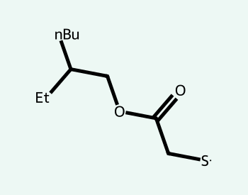 CCCCC(CC)COC(=O)C[S]